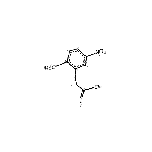 COc1ccc([N+](=O)[O-])cc1OC(=O)Cl